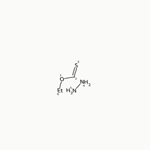 CCOC=S.NN